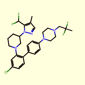 Cc1cnn(C2CCCN(c3cc(Cl)ccc3-c3ccc(N4CCN(CC(C)(F)F)CC4)cc3)C2)c1C(F)F